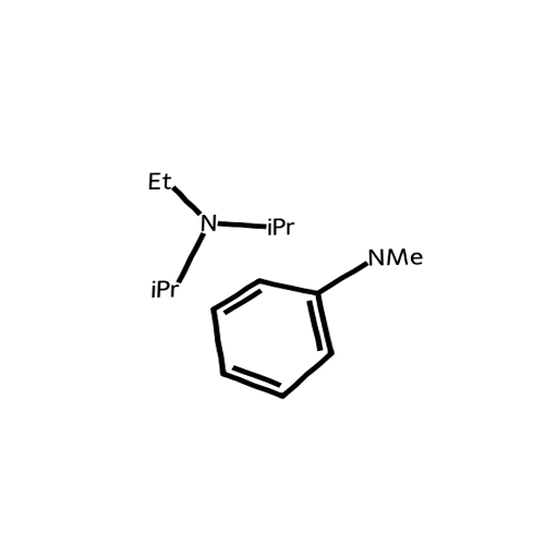 CCN(C(C)C)C(C)C.CNc1ccccc1